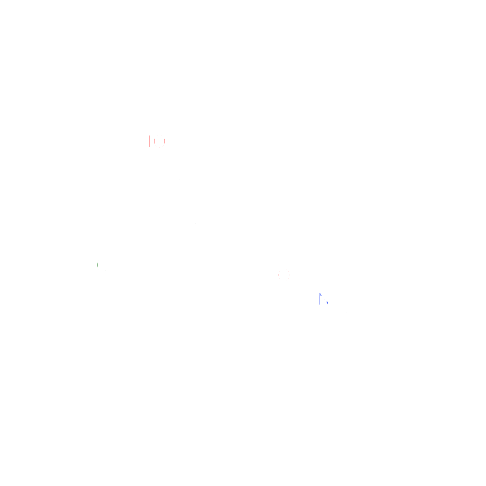 OCCCC(c1ccc(Cl)cc1)c1ccc(OCc2ccc3ccccc3n2)cc1